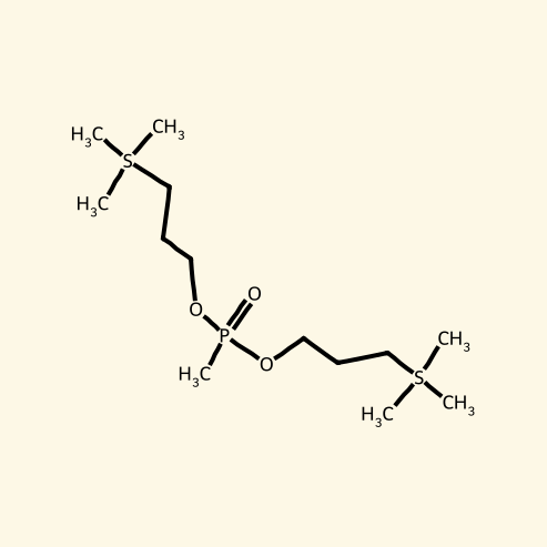 CP(=O)(OCCCS(C)(C)C)OCCCS(C)(C)C